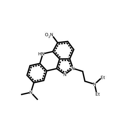 CCN(CC)CCn1nc2c3c(c([N+](=O)[O-])ccc31)Nc1ccc(N(C)C)cc1-2